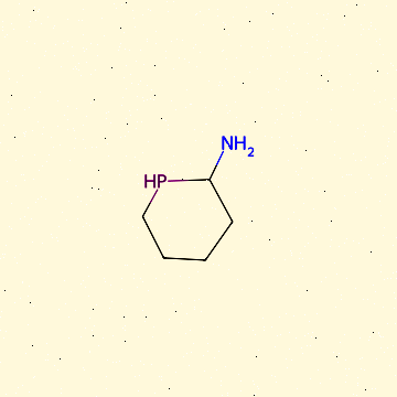 NC1CCCCP1